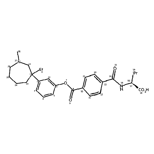 CCC1(c2cccc(OC(=O)c3ccc(C(=O)N[C@H](C(=O)O)C(C)C)cc3)c2)CCCCN(C)C1